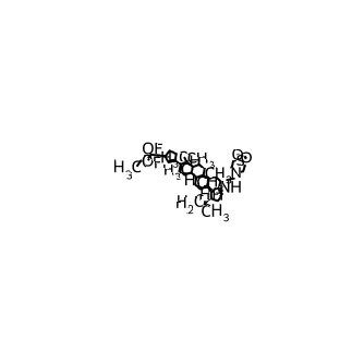 C=C(C)[C@@H]1CC[C@]2(NCCN3CCS(=O)(=O)CC3)CC[C@]3(C)[C@H](CC[C@@H]4[C@@]5(C)CC=C(C6=CC(C(F)(F)C(=O)OCC)CC6)C(C)(C)[C@@H]5CC[C@]43C)[C@@H]12